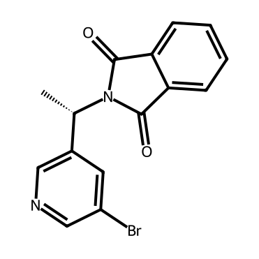 C[C@@H](c1cncc(Br)c1)N1C(=O)c2ccccc2C1=O